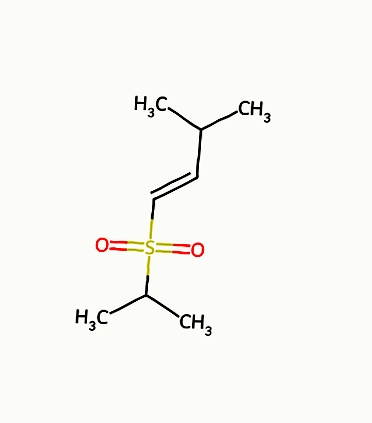 CC(C)/C=C/S(=O)(=O)C(C)C